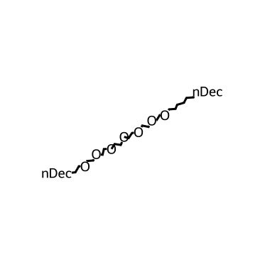 CCCCCCCCCCCCCCCCOCCOCCOCCOCCOCCOCCOCCCCCCCCCCCC